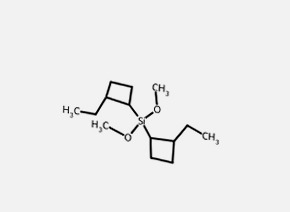 CCC1CCC1[Si](OC)(OC)C1CCC1CC